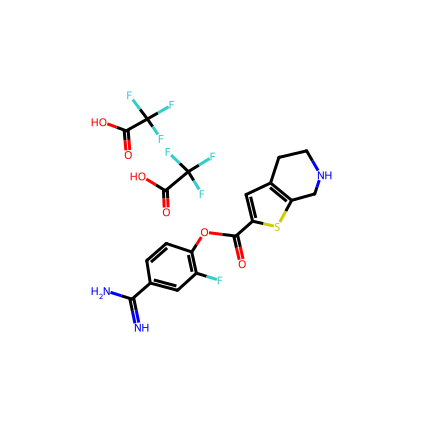 N=C(N)c1ccc(OC(=O)c2cc3c(s2)CNCC3)c(F)c1.O=C(O)C(F)(F)F.O=C(O)C(F)(F)F